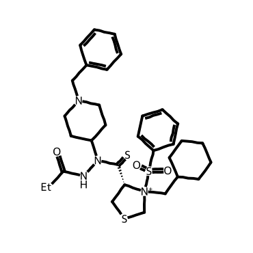 CCC(=O)NN(C(=S)[C@H]1CSC[N+]1(CC1CCCCC1)S(=O)(=O)c1ccccc1)C1CCN(Cc2ccccc2)CC1